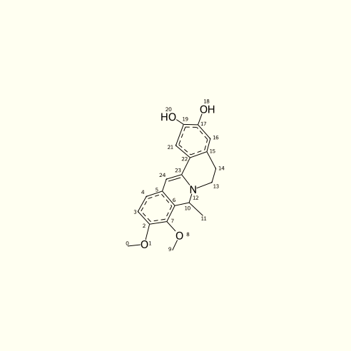 COc1ccc2c(c1OC)C(C)N1CCc3cc(O)c(O)cc3C1=C2